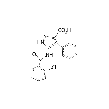 O=C(Nc1[nH]nc(C(=O)O)c1-c1ccccc1)c1ccccc1Cl